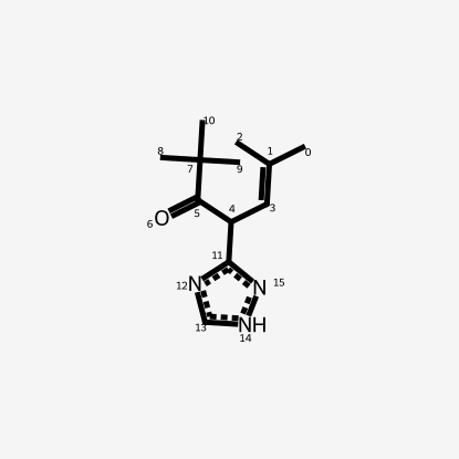 CC(C)=CC(C(=O)C(C)(C)C)c1nc[nH]n1